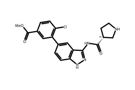 COC(=O)c1ccc(Cl)c(-c2ccc3[nH]nc(NC(=O)[C@@H]4CCNC4)c3c2)c1